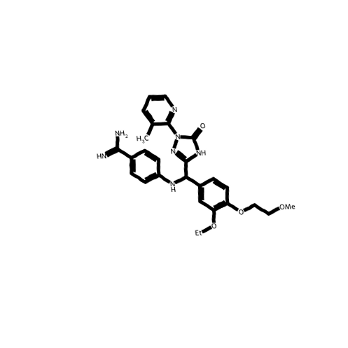 CCOc1cc(C(Nc2ccc(C(=N)N)cc2)c2nn(-c3ncccc3C)c(=O)[nH]2)ccc1OCCOC